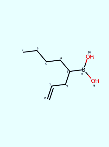 C=CCC(CCCC)B(O)O